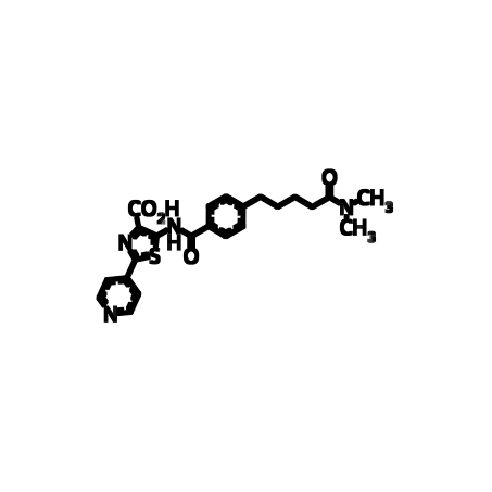 CN(C)C(=O)CCCCc1ccc(C(=O)Nc2sc(-c3ccncc3)nc2C(=O)O)cc1